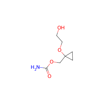 NC(=O)OCC1(OCCO)CC1